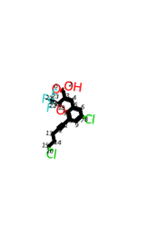 O=C(O)C1=Cc2cc(Cl)cc(C#CCCCCl)c2O[C@@H]1C(F)(F)F